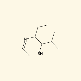 C/C=N\C(CC)C(S)C(C)C